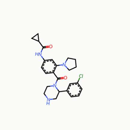 O=C(Nc1ccc(C(=O)N2CCNCC2c2cccc(Cl)c2)c(N2CCCC2)c1)C1CC1